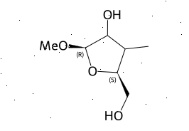 CO[C@@H]1O[C@H](CO)C(C)C1O